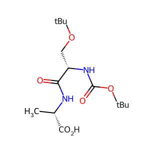 C[C@H](NC(=O)[C@H](COC(C)(C)C)NC(=O)OC(C)(C)C)C(=O)O